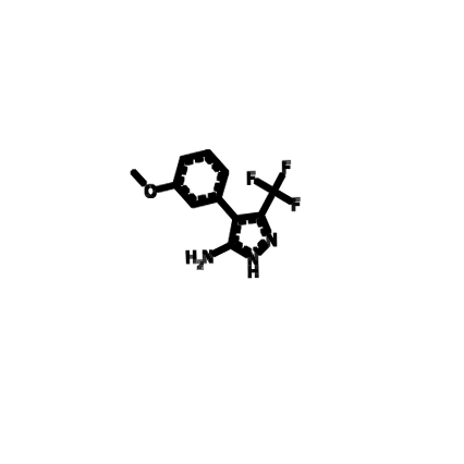 COc1cccc(-c2c(C(F)(F)F)n[nH]c2N)c1